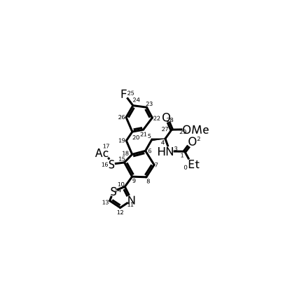 CCC(=O)N[C@@H](Cc1ccc(-c2nccs2)c(SC(C)=O)c1Cc1cccc(F)c1)C(=O)OC